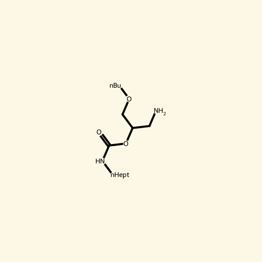 CCCCCCCNC(=O)OC(CN)COCCCC